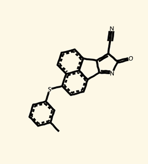 Cc1cccc(Sc2ccc3c4c(cccc24)C2=C(C#N)C(=O)N=C23)c1